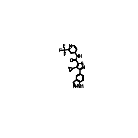 O=C(Nc1ccnc(C(F)(F)F)c1)c1snc(-c2ccc3[nH]ncc3c2)c1C1CC1